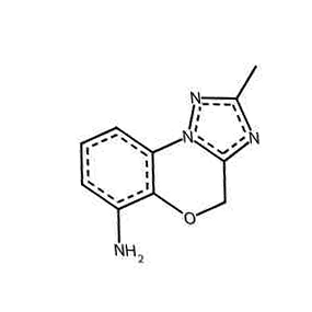 Cc1nc2n(n1)-c1cccc(N)c1OC2